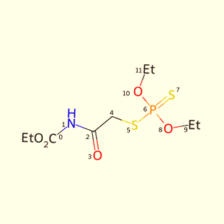 CCOC(=O)NC(=O)CSP(=S)(OCC)OCC